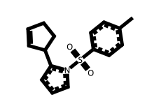 Cc1ccc(S(=O)(=O)n2cccc2C2C=CCC2)cc1